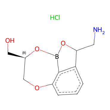 Cl.NCC1OB2O[C@H](CO)COc3cccc1c32